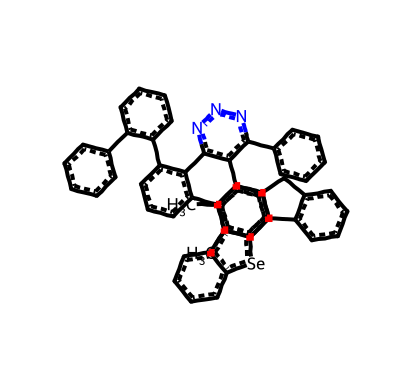 Cc1cc2c(c(-c3c(-c4ccccc4)nnnc3-c3c(-c4ccccc4-c4ccccc4)cccc3-c3cccc4[se]c5ccccc5c34)c1C)Cc1ccccc1-2